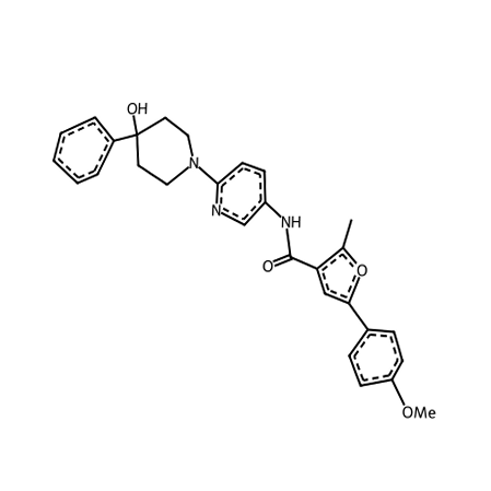 COc1ccc(-c2cc(C(=O)Nc3ccc(N4CCC(O)(c5ccccc5)CC4)nc3)c(C)o2)cc1